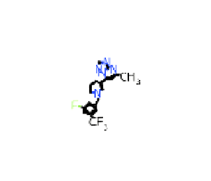 Cc1cc(C2CCCN(Cc3cc(F)cc(C(F)(F)F)c3)C2)n2ncnc2n1